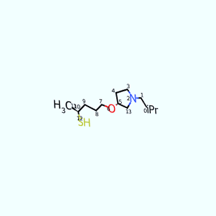 CC(C)CN1CC[C@@H](OCCC[C@H](C)S)C1